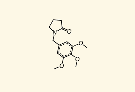 COc1cc(CN2CCCC2=O)cc(OC)c1OC